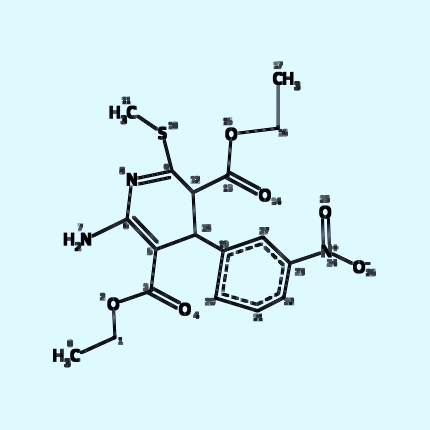 CCOC(=O)C1=C(N)N=C(SC)C(C(=O)OCC)C1c1cccc([N+](=O)[O-])c1